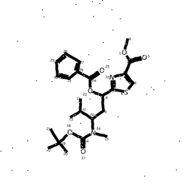 COC(=O)c1csc(C(CC(C(C)C)N(C)C(=O)OC(C)(C)C)OC(=O)c2ccccc2)n1